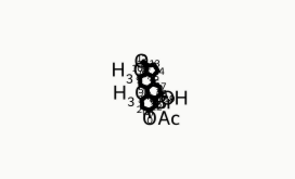 CC(=O)O[C@H]1CC[C@]2(C)C3CC[C@]4(C)C(=O)CCC4C3C[C@@H](O)[C@@]2(Br)C1